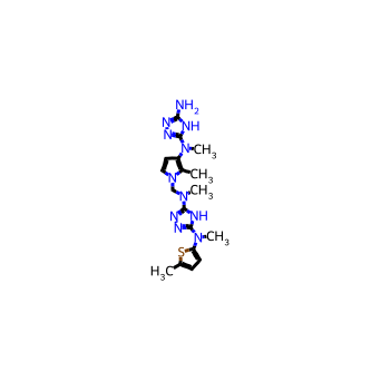 Cc1ccc(N(C)c2nnc(N(C)Cn3ccc(N(C)c4nnc(N)[nH]4)c3C)[nH]2)s1